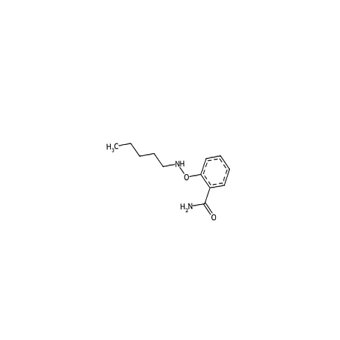 CCCCCNOc1ccccc1C(N)=O